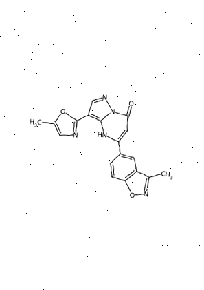 Cc1cnc(-c2cnn3c(=O)cc(-c4ccc5onc(C)c5c4)[nH]c23)o1